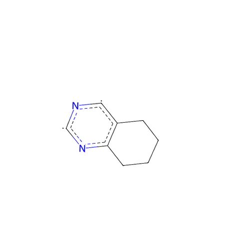 [c]1n[c]c2c(n1)CCCC2